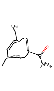 CNC(=O)c1cc(C)cc(C#N)c1